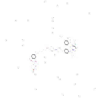 COc1cc(N2CCC(N3CCN(C(=O)CCCCCNc4ccc5c(c4)C(=O)N(C4CCC(=O)NC4=O)C5=O)CC3)CC2)ccc1Nc1ncc(Cl)c(Nc2ccccc2P(=O)(OC)OC)n1